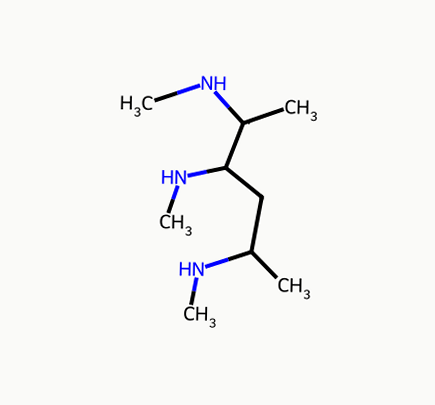 CN[C](C)C(CC(C)NC)NC